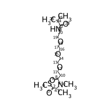 CSC(=O)[C@@H](C)N(C)C(=O)CCOCCOCCOCCNC(=O)C(C)C